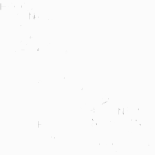 CCOC(=O)C(c1ncn2c1CCC2)N1Cc2c(cc(-c3ccc([C@H]4CCN(C(=O)O)C[C@@H]4F)cc3)cc2C(F)F)C1=O